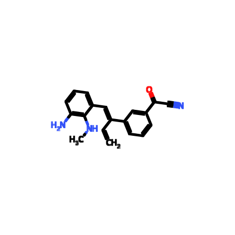 C=C/C(=C\c1cccc(N)c1NC)c1cccc(C(=O)C#N)c1